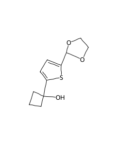 OC1(c2ccc(C3OCCO3)s2)CCC1